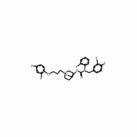 O=C(OC1C[N+]2(CCCOc3ccc(F)cc3F)CCC1CC2)N(Cc1ccc(F)c(F)c1)c1ccccc1F